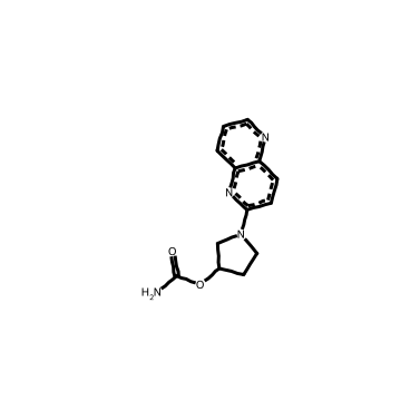 NC(=O)OC1CCN(c2ccc3ncccc3n2)C1